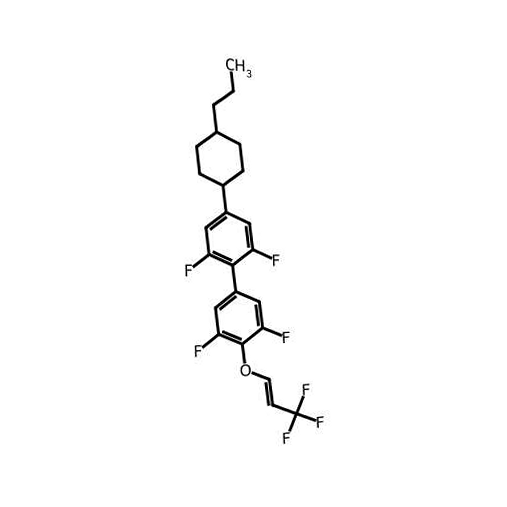 CCCC1CCC(c2cc(F)c(-c3cc(F)c(O/C=C/C(F)(F)F)c(F)c3)c(F)c2)CC1